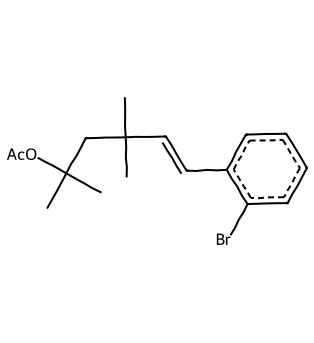 CC(=O)OC(C)(C)CC(C)(C)/C=C/c1ccccc1Br